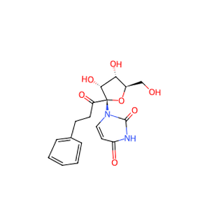 O=C(CCc1ccccc1)[C@@]1(n2ccc(=O)[nH]c2=O)O[C@H](CO)[C@@H](O)[C@H]1O